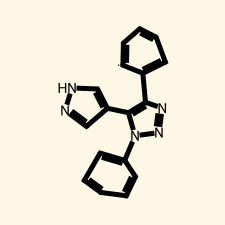 [c]1ccccc1-c1nnn(-c2ccccc2)c1-c1cn[nH]c1